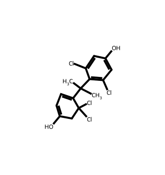 CC(C)(C1=CC=C(O)CC1(Cl)Cl)c1c(Cl)cc(O)cc1Cl